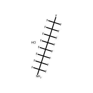 Cl.NC(F)(F)C(F)(F)C(F)(F)C(F)(F)C(F)(F)C(F)(F)C(F)(F)C(F)(F)F